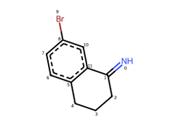 N=C1CCCc2ccc(Br)cc21